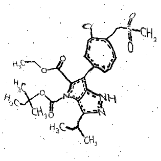 CCOC(=O)c1c(-c2ccc(CS(C)(=O)=O)c(Cl)c2)c2[nH]nc(C(C)C)c2n1C(=O)OC(C)(C)C